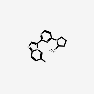 O=C(O)C1CCCN1c1ccnc(-c2cnc3ccc(F)cn23)n1